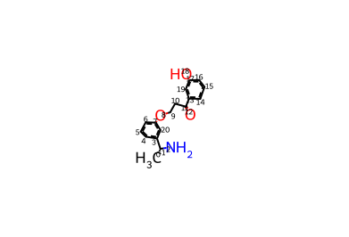 C[C@H](N)c1cccc(OCCC(=O)c2cccc(O)c2)c1